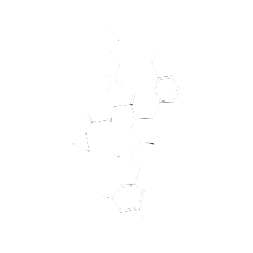 CCCCS(=O)(=O)C[C@@H](NC(=O)C1CC1)C(=O)N(Cc1cccc(CC)c1)C[C@@H](O)[C@@H](N)Cc1cc(F)cc(F)c1